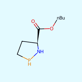 CCCCOC(=O)[C@@H]1CCPN1